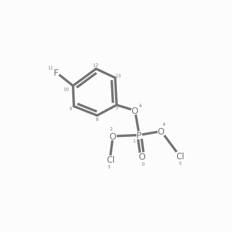 O=P(OCl)(OCl)Oc1ccc(F)cc1